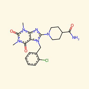 Cn1c(=O)c2c(nc(N3CCC(C(N)=O)CC3)n2Cc2ccccc2Cl)n(C)c1=O